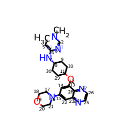 C=N/C=N\C(=C/C)N[C@H]1CC[C@@H](Oc2cc(N3CCOCC3)cc3nccnc23)CC1